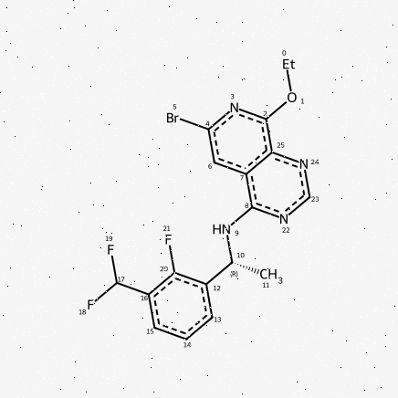 CCOc1nc(Br)cc2c(N[C@H](C)c3cccc(C(F)F)c3F)ncnc12